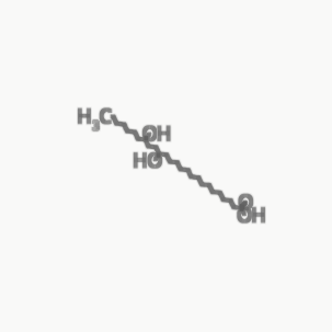 CCCCCCCC(O)CCC(O)CCCCCCCCCCCCCCC(=O)O